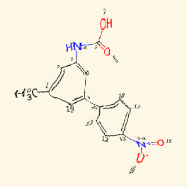 Cc1cc(NC(=O)O)cc(-c2ccc([N+](=O)[O-])cc2)c1